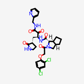 O=C(NCc1ccccn1)C(=O)[C@H](C[C@@H]1CCNC1=O)NC(=O)[C@@H]1[C@H]2CCC[C@H]2CN1C(=O)COc1ccc(Cl)cc1Cl